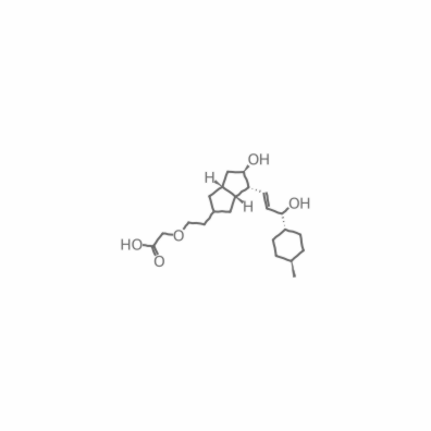 C[C@H]1CC[C@H](C(O)C=C[C@@H]2[C@@H]3CC(CCOCC(=O)O)C[C@@H]3C[C@H]2O)CC1